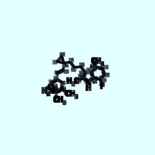 C/C=C(\C=C(\C)C(C)N)/C=C/C1(CCCc2c(C)[nH]c3c(F)ccc(C)c23)CC1